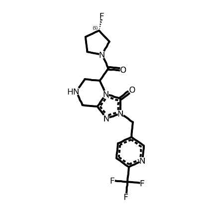 O=C(C1CNCc2nn(Cc3ccc(C(F)(F)F)nc3)c(=O)n21)N1CC[C@H](F)C1